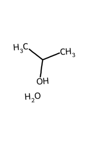 CC(C)O.O